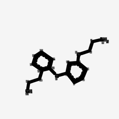 NCCOc1cccc(Oc2ccccc2CCO)c1